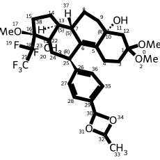 COC1(OC)CCC2=C3[C@@H](CC[C@@]2(O)C1)[C@@H]1CC[C@@](OC)(C(F)(F)C(F)(F)F)[C@@]1(C)C[C@@H]3c1ccc(C2OC(C)O2)cc1